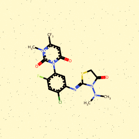 CN(C)N1C(=O)CSC1=Nc1cc(-n2c(=O)cc(C(F)(F)F)n(C)c2=O)c(F)cc1Cl